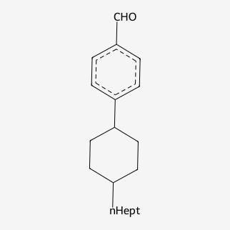 CCCCCCCC1CCC(c2ccc(C=O)cc2)CC1